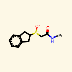 CC(C)NC(=O)C[S+]([O-])C1Cc2ccccc2C1